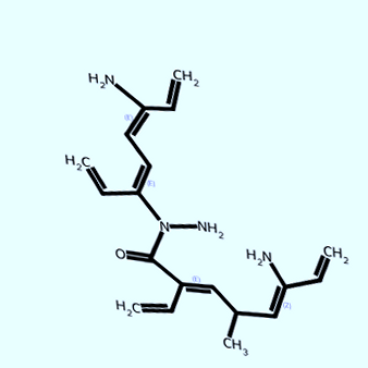 C=C/C(N)=C/C(C)/C=C(\C=C)C(=O)N(N)/C(C=C)=C/C=C(/N)C=C